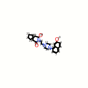 COc1ccc2cccc(N3CCN(CCN4C(=O)CC5(CCCC5)CC4=O)CC3)c2c1